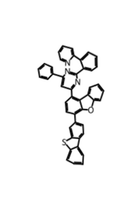 c1ccc(-c2cc(-c3ccc(-c4ccc5c(c4)sc4ccccc45)c4oc5ccccc5c34)nc(-c3ccccc3-c3ccccn3)n2)cc1